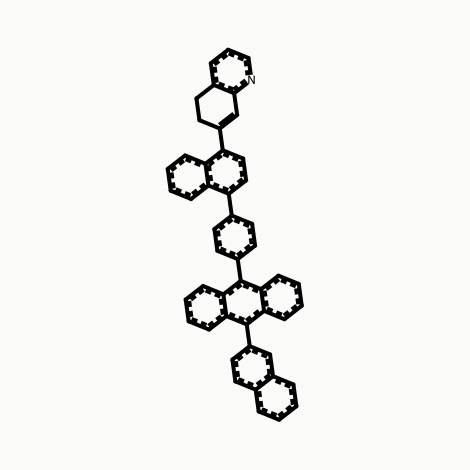 C1=C(c2ccc(-c3ccc(-c4c5ccccc5c(-c5ccc6ccccc6c5)c5ccccc45)cc3)c3ccccc23)CCc2cccnc21